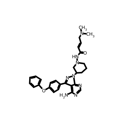 CN(C)C/C=C/C(=O)NN1CCCC(n2nc(-c3ccc(Oc4ccccc4)cc3)c3c(N)ncnc32)C1